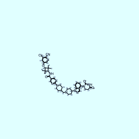 CC1(C)C(NC(=O)c2cnc(N3CCC(CN4CCC(n5ncc6c(N7CCC(=O)NC7=O)cccc65)CC4)CC3)nc2)C(C)(C)C1Oc1cnc(C#N)c(Cl)c1